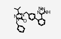 CC(C)c1nn(Cc2ccccc2)c(=O)n1Cc1ccc(-c2ccccc2-c2nnn[nH]2)cc1